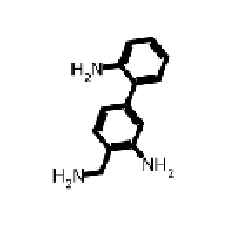 NCc1ccc(-c2ccccc2N)cc1N